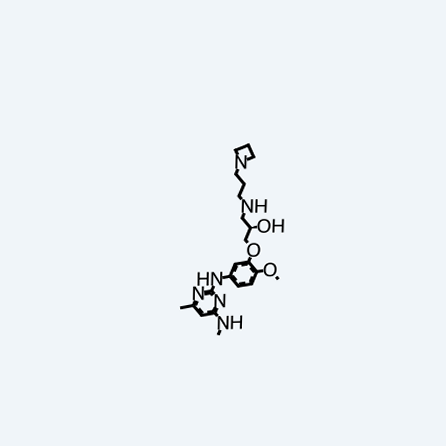 CNc1cc(C)nc(Nc2ccc(OC)c(OC[C@H](O)CNCCCN3CCC3)c2)n1